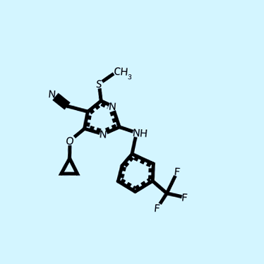 CSc1nc(Nc2cccc(C(F)(F)F)c2)nc(OC2CC2)c1C#N